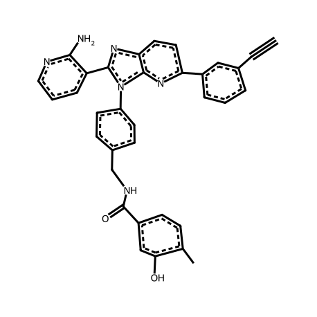 C#Cc1cccc(-c2ccc3nc(-c4cccnc4N)n(-c4ccc(CNC(=O)c5ccc(C)c(O)c5)cc4)c3n2)c1